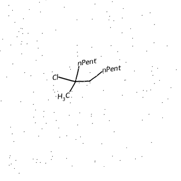 CCCCCCC(C)(Cl)CCCCC